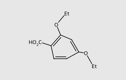 CCOc1ccc(C(=O)O)c(OCC)c1